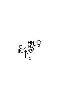 NC(=O)C(=CC1CCNC1=O)NC(=O)[C@@H](N)CC1CCCCC1